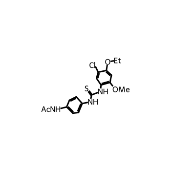 CCOc1cc(OC)c(NC(=S)Nc2ccc(NC(C)=O)cc2)cc1Cl